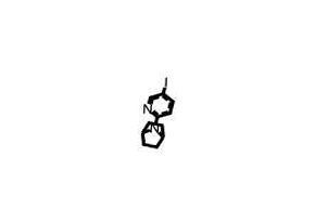 Ic1ccc(N2C3CCC2CC3)nc1